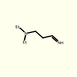 CCN(CC)CCC=N